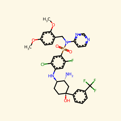 COc1ccc(CN(c2ccncn2)S(=O)(=O)c2cc(Cl)c(N[C@@H]3CC[C@@](O)(c4cccc(C(F)(F)F)c4)C[C@H]3N)cc2F)c(OC)c1